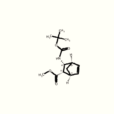 COC(=O)[C@@H]1[C@H](NC(=O)OC(C)(C)C)[C@H]2C=C[C@@H]1C2